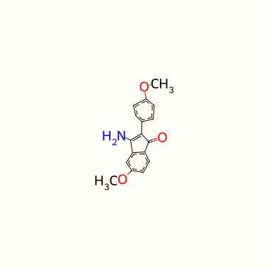 COc1ccc(C2=C(N)c3cc(OC)ccc3C2=O)cc1